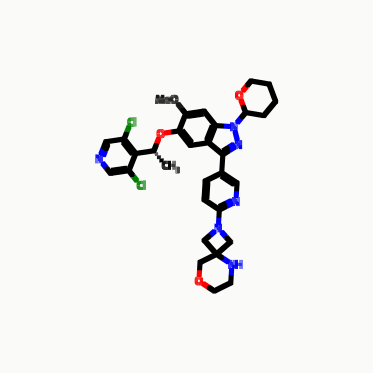 COc1cc2c(cc1O[C@H](C)c1c(Cl)cncc1Cl)c(-c1ccc(N3CC4(COCCN4)C3)nc1)nn2C1CCCCO1